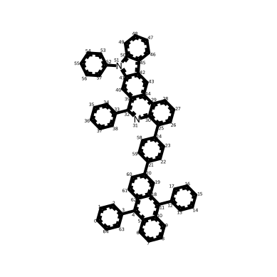 c1ccc(-c2c3ccccc3c(-c3ccccc3)c3cc(-c4ccc(-c5cccc6c5nc(-c5ccccc5)c5cc7c(cc56)c5ccccc5n7-c5ccccc5)cc4)ccc23)cc1